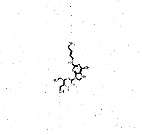 CC(O[C@H](CO)[C@H](O)CO)N1CNc2c(S)nc(NC/C=C/CN)nc21